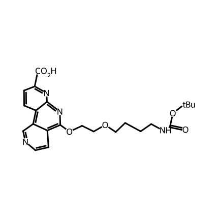 CC(C)(C)OC(=O)NCCCCOCCOc1nc2nc(C(=O)O)ccc2c2cnccc12